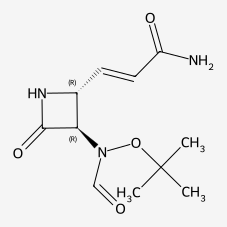 CC(C)(C)ON(C=O)[C@H]1C(=O)N[C@@H]1C=CC(N)=O